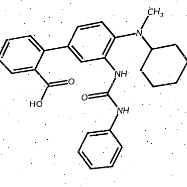 CN(c1ccc(-c2ccccc2C(=O)O)cc1NC(=O)Nc1ccccc1)C1CCCCC1